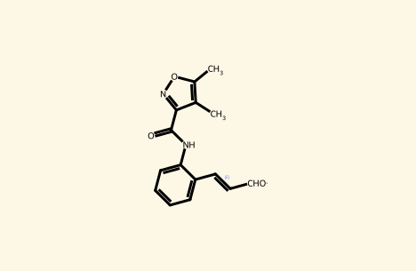 Cc1onc(C(=O)Nc2ccccc2/C=C/[C]=O)c1C